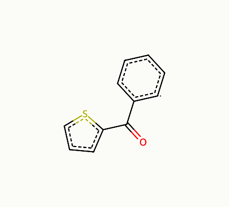 O=C(c1[c]cccc1)c1cccs1